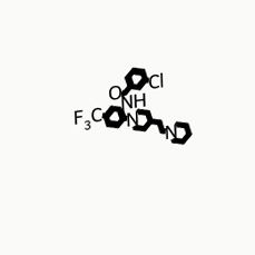 O=C(Nc1cc(C(F)(F)F)ccc1N1CCC(CCN2CCCCC2)CC1)c1cccc(Cl)c1